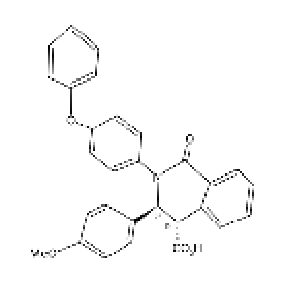 COc1ccc([C@@H]2[C@@H](C(=O)O)c3ccccc3C(=O)N2c2ccc(Oc3ccccc3)cc2)cc1